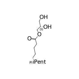 CCC[C@@H](C)CCCCC(=O)OC[C@@H](O)CO